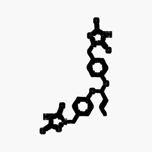 CC=CC(Oc1ccc(Cn2oc(=O)[nH]c2=O)cc1)Oc1ccc(Cn2oc(=O)[nH]c2=O)cc1